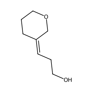 OCC/C=C1/CCCOC1